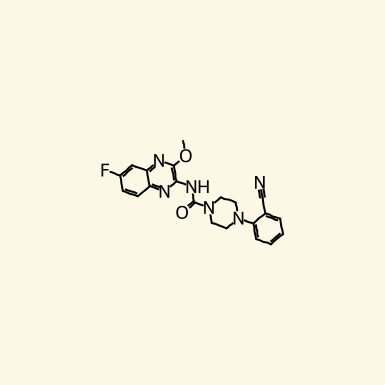 COc1nc2cc(F)ccc2nc1NC(=O)N1CCN(c2ccccc2C#N)CC1